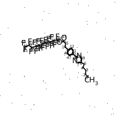 CCCCCCc1cnc(-c2ccc(CCC(=O)OC(F)C(F)(F)C(F)(F)C(F)(F)C(F)(F)C(F)(F)C(F)(F)C(F)C(F)C(F)F)cc2)nc1